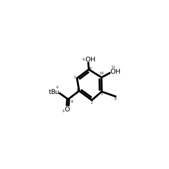 Cc1cc(C(=O)C(C)(C)C)cc(O)c1O